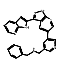 c1ccc(CNCc2cncc(-c3cnc4[nH]nc(-c5cc6cccnc6[nH]5)c4c3)c2)cc1